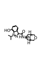 CC(C)n1nc(C(=O)N[C@H]2C[C@H]3COC[C@@H](C2)N3)c2cccc(O)c21